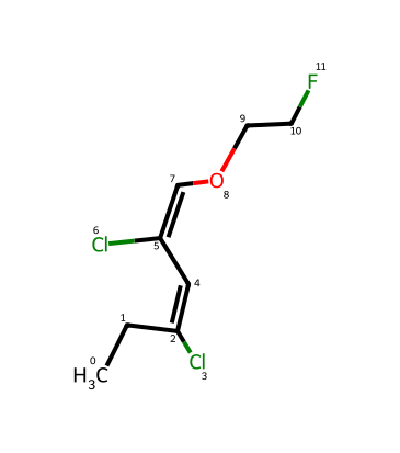 CC/C(Cl)=C\C(Cl)=C/OCCF